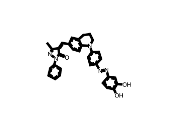 CC1=NN(c2ccccc2)C(=O)/C1=C\c1ccc2c(c1)CCCN2c1ccc(/N=N/c2ccc(O)c(O)c2)cc1